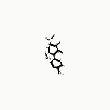 BC.Cc1c(-c2ccc(N)cc2)ccc(N(C)C)c1C